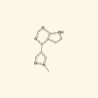 Cn1cc(-c2ncnc3[nH]ccc23)cn1